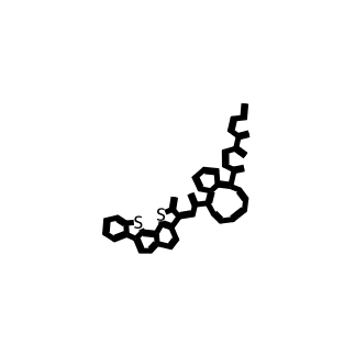 C=C/C=C\C(=C)C(=C)/C=C\C(=C)c1ccccccc(C(=C)/C=c2\c(=C)sc3c2ccc2ccc4c5ccccc5sc4c23)c2ccccc12